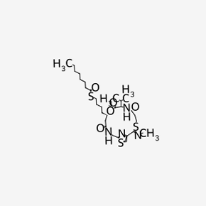 CCCCCCCC(=O)SCCCC[C@@H]1CC(=O)NCc2nc(cs2)/C(=N/C)SCCC(=O)NC(C(C)C)C(=O)O1